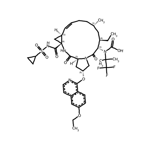 CCOc1ccc2c(O[C@@H]3C[C@H]4C(=O)N[C@]5(C(=O)NS(=O)(=O)C6CC6)C[C@H]5C=CCC[C@H](C)C[C@@H](CC)[C@H](N(C(=O)O)C(C)(C)C(F)(F)F)C(=O)N4C3)nccc2c1